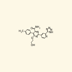 Cc1ccc(-c2c(OCCO)nc(-c3ccnc(-c4nnn[nH]4)c3)nc2C(N)=O)cc1